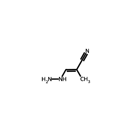 C/C(C#N)=C\NN